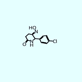 O=C1CCC(=NO)C(c2ccc(Cl)cc2)N1